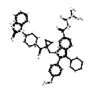 COc1ccc(-c2c(C3CCCCC3)c3ccc(C(=O)N[S+]([O-])N(C)C)cc3n2CC2(C(=O)N3CCC(n4c(=O)[nH]c5ccccc54)CC3)CC2)cc1